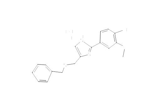 COc1cc(-c2nc(CNCc3ccccc3)c[nH]2)ccc1Cl.Cl.Cl